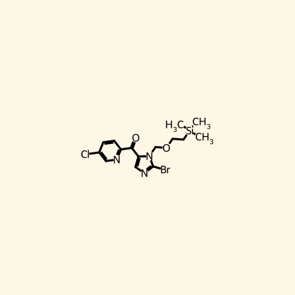 C[Si](C)(C)CCOCn1c(C(=O)c2ccc(Cl)cn2)cnc1Br